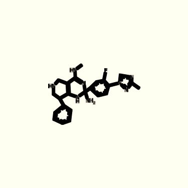 CNC1=NC(N)(c2ccc(-n3cnc(C)n3)c(F)c2)NC2=C1CNCC2c1ccccc1